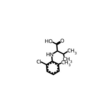 Cc1cccc(Cl)c1NC(C(=O)O)C(C)C